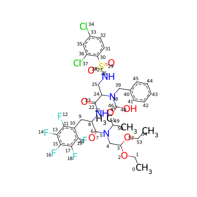 CCOC(CN(C(=O)C(Cc1c(F)c(F)c(F)c(F)c1F)NC(=O)C(CNS(=O)(=O)c1ccc(Cl)cc1Cl)N(Cc1ccccc1)C(=O)O)C(C)C)OCC